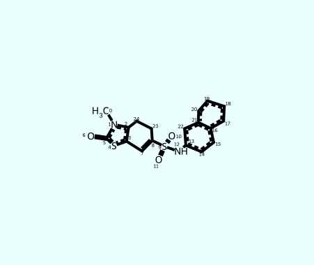 Cn1c2c(sc1=O)C=C(S(=O)(=O)Nc1ccc3ccccc3c1)CC2